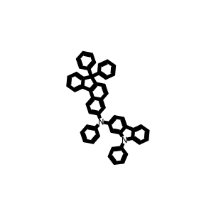 c1ccc(N(c2ccc3c4c(ccc3c2)C(c2ccccc2)(c2ccccc2)c2ccccc2-4)c2ccc3c4ccccc4n(-c4ccccc4)c3c2)cc1